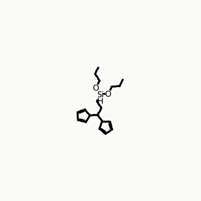 CCCO[SiH](CCC(C1C=CC=C1)C1C=CC=C1)OCCC